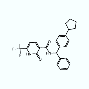 O=C(NC(c1ccccc1)c1ccc(C2CCCC2)cc1)c1ccc(C(F)(F)F)[nH]c1=O